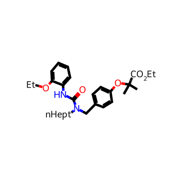 CCCCCCCN(Cc1ccc(OC(C)(C)C(=O)OCC)cc1)C(=O)Nc1ccccc1OCC